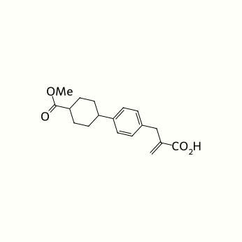 C=C(Cc1ccc(C2CCC(C(=O)OC)CC2)cc1)C(=O)O